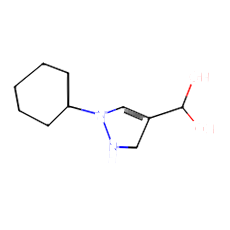 OC(O)C1=CN(C2CCCCC2)NC1